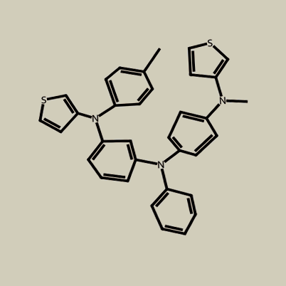 Cc1ccc(N(c2ccsc2)c2cccc(N(c3ccccc3)c3ccc(N(C)c4ccsc4)cc3)c2)cc1